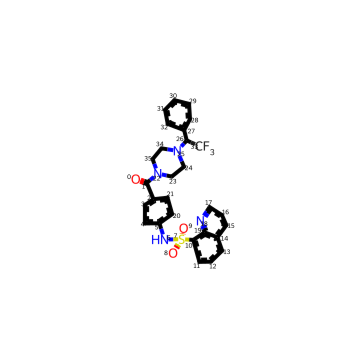 O=C(c1ccc(NS(=O)(=O)c2cccc3cccnc23)cc1)N1CCN(C(c2ccccc2)C(F)(F)F)CC1